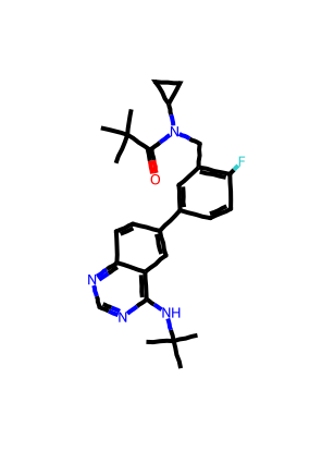 CC(C)(C)Nc1ncnc2ccc(-c3ccc(F)c(CN(C(=O)C(C)(C)C)C4CC4)c3)cc12